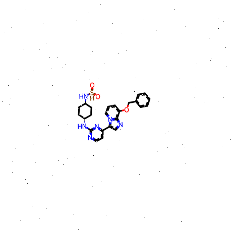 O=[SH](=O)N[C@H]1CC[C@H](Nc2nccc(-c3cnc4c(OCc5ccccc5)cccn34)n2)CC1